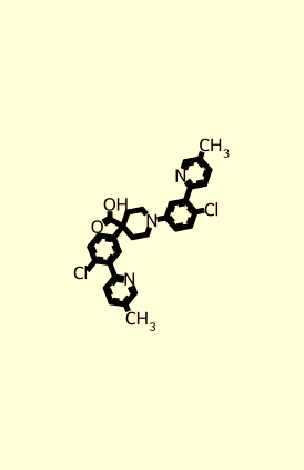 Cc1ccc(-c2cc(N3CCC(C(=O)O)(c4ccc(Cl)c(-c5ccc(C)cn5)c4)CC3)ccc2Cl)nc1